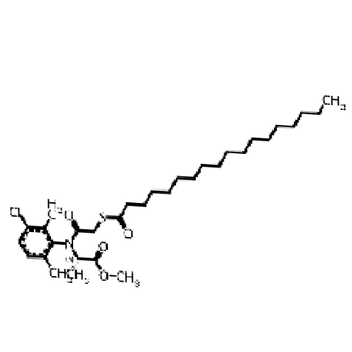 CCCCCCCCCCCCCCCCCC(=O)SCC(=O)N(c1c(C)ccc(Cl)c1C)[C@@H](C)C(=O)OC